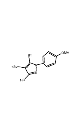 CCCCc1c(O)nn(-c2ccc(OC)cc2)c1C(C)C